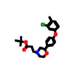 Cc1ccc(Oc2ccc(C3CN(CCC(=O)OC(C)(C)C)CCO3)cc2)cc1Cl